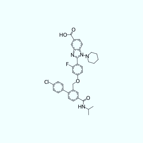 CC(C)NC(=O)c1ccc(-c2ccc(Cl)cc2)c(COc2ccc(-c3nc4cc(C(=O)O)ccc4n3N3CCCCC3)c(F)c2)c1